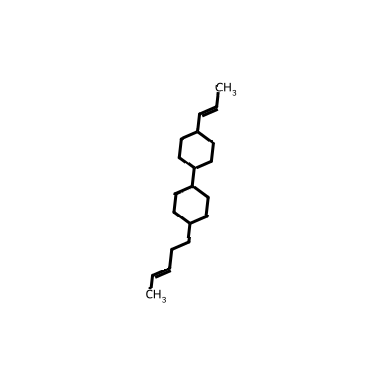 C/C=C/CCC1CCC(C2CCC(/C=C/C)CC2)CC1